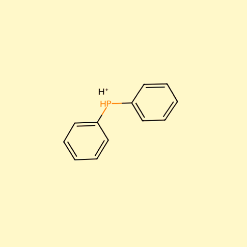 [H+].c1ccc(Pc2ccccc2)cc1